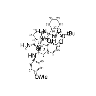 COc1ccc(NC(Cc2ccc(Cl)cc2C[N+]2(C(=O)[C@](N)(NC(=O)OC(C)(C)C)C3CCCCC3)CCC[C@H]2C(N)=O)C(F)(F)F)cc1